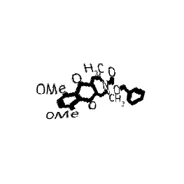 COc1ccc(OC)c2c1C(=O)C1=C(C[C@H](C)N(C(=O)OCc3ccccc3)[C@@H](C)C1)C2=O